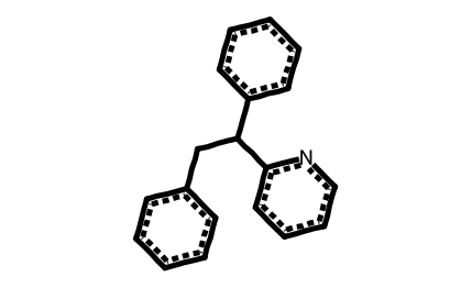 c1ccc(CC(c2ccccc2)c2ccccn2)cc1